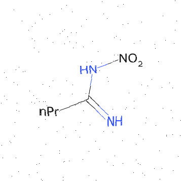 [CH2]CCC(=N)N[N+](=O)[O-]